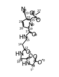 COC(=O)[C@H](C)NC(=O)[C@H](C)NC(=O)CCNC(=O)c1ccc(C#N)c(S(C)(=O)=O)n1